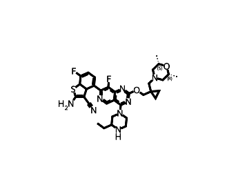 CCC1CN(c2nc(OCC3(CN4C[C@@H](C)O[C@@H](C)C4)CC3)nc3c(F)c(C4=CC=C(F)C5SC(N)=C(C#N)C45)ncc23)CCN1